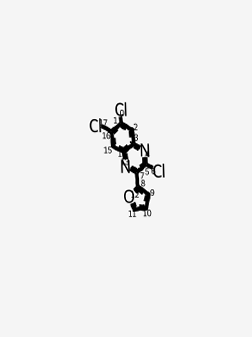 Clc1cc2nc(Cl)c(-c3ccco3)nc2cc1Cl